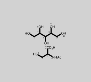 CC(=O)NC(CS)C(=O)O.OCC(O)C(O)C(O)CO